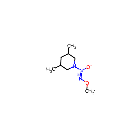 [CH2]O/N=[N+](\[O-])N1CC(C)CC(C)C1